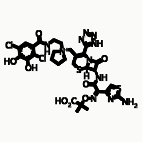 CC(C)(O/N=C(\C(=O)N[C@@H]1C(=O)N2C(c3nnn[nH]3)=C(C[N+]3(CCNC(=O)c4cc(Cl)c(O)c(O)c4Cl)CCCC3)CS[C@H]12)c1csc(N)n1)C(=O)O